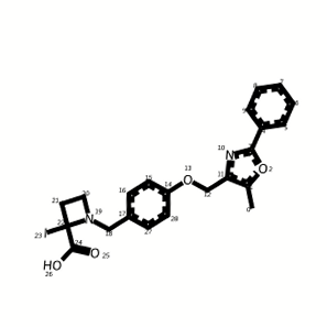 Cc1oc(-c2ccccc2)nc1COc1ccc(CN2CCC2(I)C(=O)O)cc1